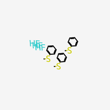 CSc1ccccc1.CSc1ccccc1.CSc1ccccc1.F.F.F